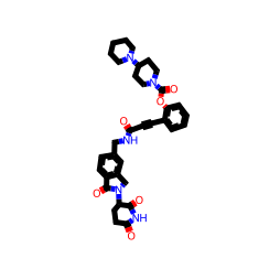 O=C(C#Cc1ccccc1OC(=O)N1CCC(N2CCCCC2)CC1)NCc1ccc2c(c1)CN(C1CCC(=O)NC1=O)C2=O